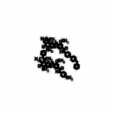 CCC1C(=O)N(C)c2cnc(Nc3ccc(C(=O)NC4CCN(C)CC4)cc3OC)nc2N1N(C)Cc1ccccc1.CCC1C(=O)N(C)c2cnc(Nc3ccc(C(=O)NC4CCN(C5CCN(Cc6ccccc6)CC5)CC4)cc3OC)nc2N1N(C)C